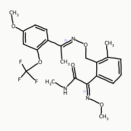 CNC(=O)/C(=N/OC)c1cccc(C)c1CO/N=C(\C)c1ccc(OC)cc1OC(F)(F)F